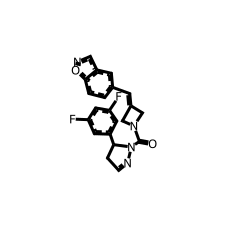 O=C(N1CC(=Cc2ccc3oncc3c2)C1)N1N=CCC1c1cc(F)cc(F)c1